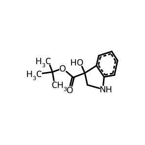 CC(C)(C)OC(=O)C1(O)CNc2ccccc21